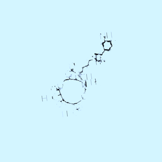 COC1CCCN(C)C(C)C2C(COC(=O)C(C)C(=O)CC1)OC(=O)N2CCCCn1cc(-c2cccc(N)c2)nn1